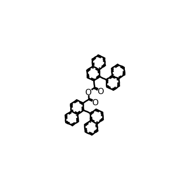 O=C(OC(=O)c1ccc2ccccc2c1-c1cccc2ccccc12)c1ccc2ccccc2c1-c1cccc2ccccc12